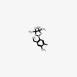 Cc1cc(CC(F)(F)F)c(B2OC(C)(C)C(C)(C)O2)cc1F